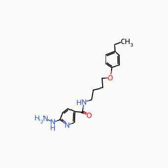 CCc1ccc(OCCCCNC(=O)c2ccc(NN)nc2)cc1